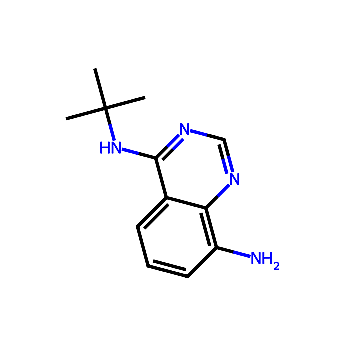 CC(C)(C)Nc1ncnc2c(N)cccc12